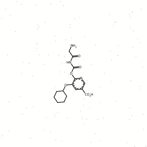 NCC(=O)NC(=O)Oc1ncc(C(=O)O)cc1OC1CCCCC1